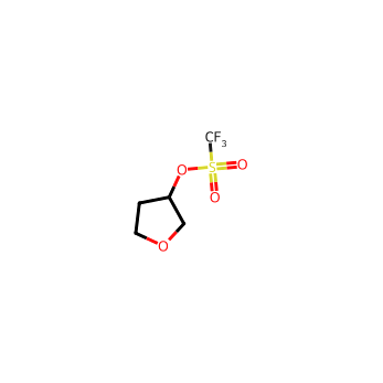 O=S(=O)(OC1CCOC1)C(F)(F)F